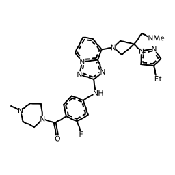 CCc1cnn(C2(CNC)CN(c3cccn4nc(Nc5ccc(C(=O)N6CCN(C)CC6)c(F)c5)nc34)C2)c1